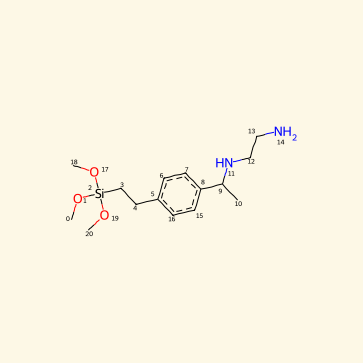 CO[Si](CCc1ccc(C(C)NCCN)cc1)(OC)OC